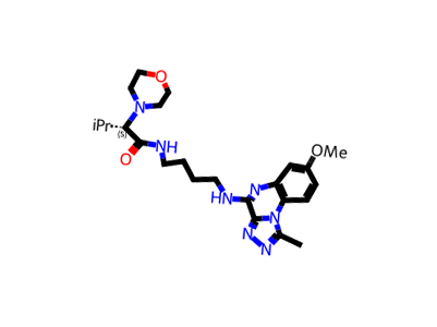 COc1ccc2c(c1)nc(NCCCCNC(=O)[C@H](C(C)C)N1CCOCC1)c1nnc(C)n12